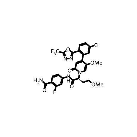 COCC[C@@H](C(=O)Nc1ccc(C(N)=O)c(F)c1)n1cc(OC)c(-c2cc(Cl)ccc2-c2nnc(C(F)(F)F)o2)cc1=O